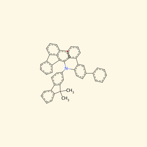 CC1(C)c2ccccc2-c2ccc(N(c3ccc(-c4ccccc4)cc3-c3ccccc3)c3ccc4cccc5c4c3-c3ccccc3-5)cc21